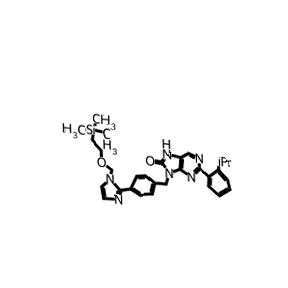 CC(C)c1ccccc1-c1ncc2[nH]c(=O)n(Cc3ccc(-c4nccn4COCC[Si](C)(C)C)cc3)c2n1